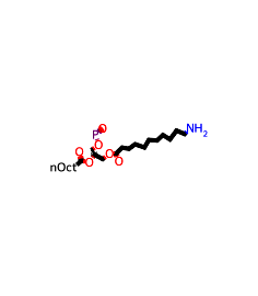 CCCCCCCCC(=O)O[C@@H](COP=O)COC(=O)CCCCCCCCCCN